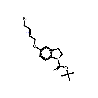 CC(C)(C)OC(=O)N1CCc2cc(OC/C=C/CBr)ccc21